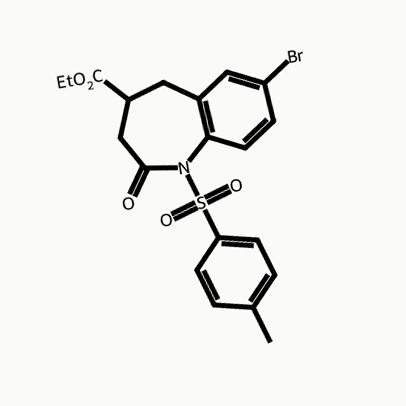 CCOC(=O)C1CC(=O)N(S(=O)(=O)c2ccc(C)cc2)c2ccc(Br)cc2C1